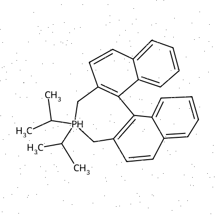 CC(C)[PH]1(C(C)C)Cc2ccc3ccccc3c2-c2c(ccc3ccccc23)C1